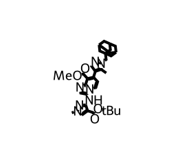 COC(=O)c1c(-c2cnn(CC34CC5CC(CC(C5)C3)C4)c2C)ccn2c(Nc3nn(C)cc3C(=O)OC(C)(C)C)cnc12